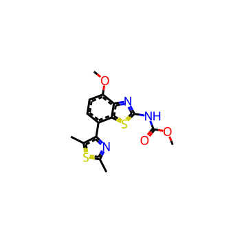 COC(=O)Nc1nc2c(OC)ccc(-c3nc(C)sc3C)c2s1